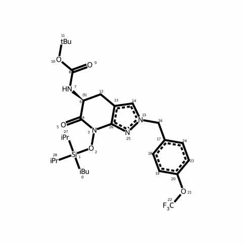 CCC(C)[Si](ON1C(=O)[C@@H](NC(=O)OC(C)(C)C)Cc2cn(Cc3ccc(OC(F)(F)F)cc3)nc21)(C(C)C)C(C)C